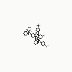 Cc1cc2c3c(c1)N(c1ccc(C(C)(C)C)cc1)c1cc(N4c5ccccc5C5(C)CCCC45C)ccc1B3c1ccccc1N2c1ccc(C(C)C)cc1